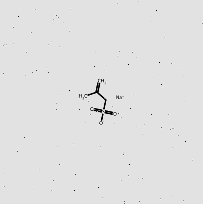 C=C(C)CS(=O)(=O)[O-].[Na+]